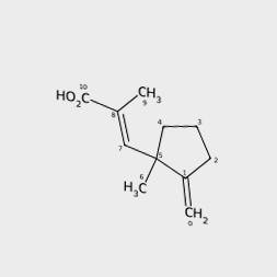 C=C1CCCC1(C)C=C(C)C(=O)O